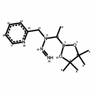 CC(B1OC(C)(C)C(C)(C)O1)N(Cc1ccccn1)N=N